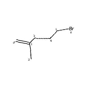 C=C(C)CCCBr